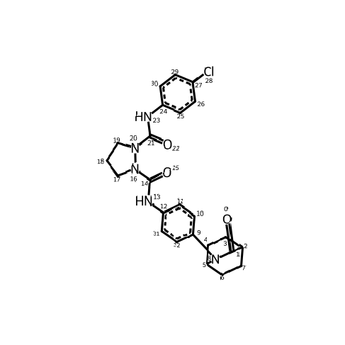 O=C1C2CCC(CC2)N1c1ccc(NC(=O)N2CCCN2C(=O)Nc2ccc(Cl)cc2)cc1